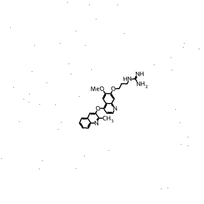 COc1cc2c(Oc3cc4ccccc4nc3C)ccnc2cc1OCCCNC(=N)N